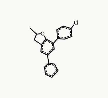 CC1Cc2cc(-c3ccccc3)cc(-c3ccc(Cl)cc3)c2O1